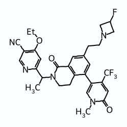 CCOc1cc(C(C)N2CCc3c(cc(CCN4CC(F)C4)cc3-c3cn(C)c(=O)cc3C(F)(F)F)C2=O)ncc1C#N